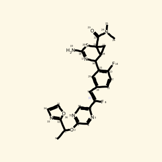 CC(Oc1cnc(/C(F)=C/c2ccc(F)c(C3N=C(N)SC4(C(=O)N(C)C)CC34)c2)cn1)c1ncco1